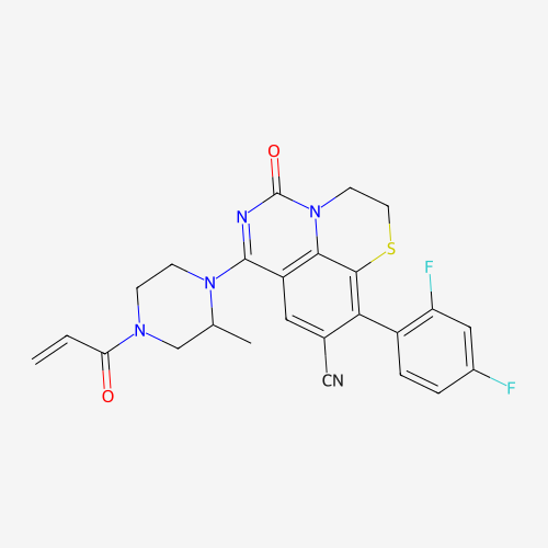 C=CC(=O)N1CCN(c2nc(=O)n3c4c(c(-c5ccc(F)cc5F)c(C#N)cc24)SCC3)C(C)C1